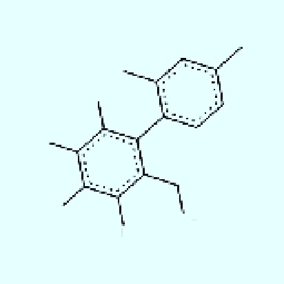 Cc1ccc(-c2c(F)c(F)c(F)c(F)c2CO)c(C)c1